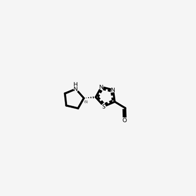 O=Cc1nnc([C@@H]2CCCN2)s1